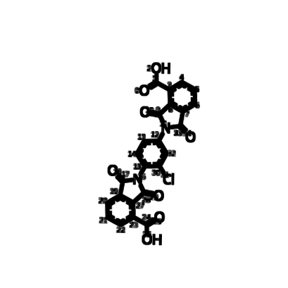 O=C(O)c1cccc2c1C(=O)N(c1ccc(N3C(=O)c4cccc(C(=O)O)c4C3=O)c(Cl)c1)C2=O